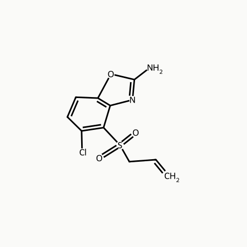 C=CCS(=O)(=O)c1c(Cl)ccc2oc(N)nc12